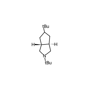 CC(C)(C)C1C[C@H]2CN(C(C)(C)C)C[C@@H]2C1